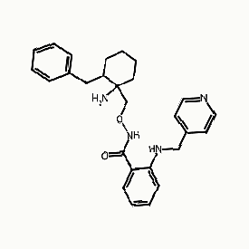 NC1(CONC(=O)c2ccccc2NCc2ccncc2)CCCCC1Cc1ccccc1